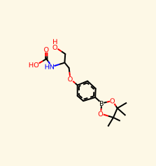 CC1(C)OB(c2ccc(OCC(CO)NC(=O)O)cc2)OC1(C)C